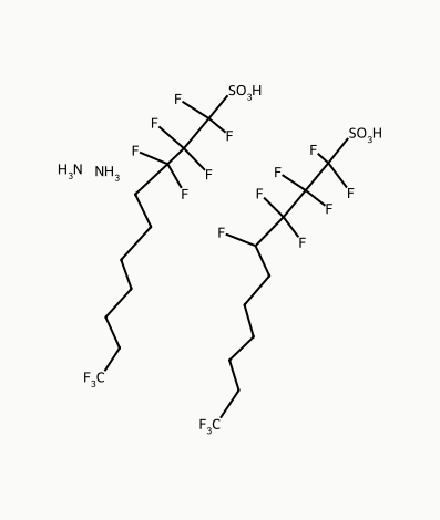 N.N.O=S(=O)(O)C(F)(F)C(F)(F)C(F)(F)C(F)CCCCCC(F)(F)F.O=S(=O)(O)C(F)(F)C(F)(F)C(F)(F)CCCCCCC(F)(F)F